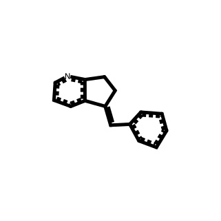 C(=C1CCc2ncccc21)c1ccccc1